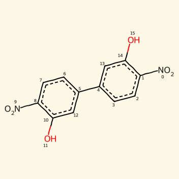 O=[N+]([O-])c1ccc(-c2ccc([N+](=O)[O-])c(O)c2)cc1O